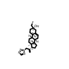 C=C(Cn1ncnn1)[C@H]1CC[C@H]2[C@@H]3CC=C4C[C@](O)(CF)CC[C@@H]4[C@H]3CC[C@]12C